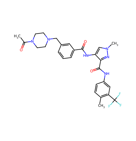 CC(=O)N1CCN(Cc2cccc(C(=O)Nc3cn(C)nc3C(=O)Nc3ccc(C)c(C(F)(F)F)c3)c2)CC1